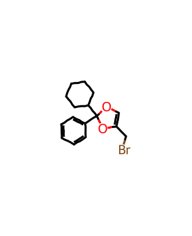 BrCC1=COC(c2ccccc2)(C2CCCCC2)O1